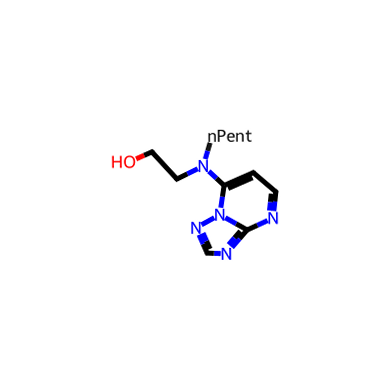 CCCCCN(CCO)c1ccnc2ncnn12